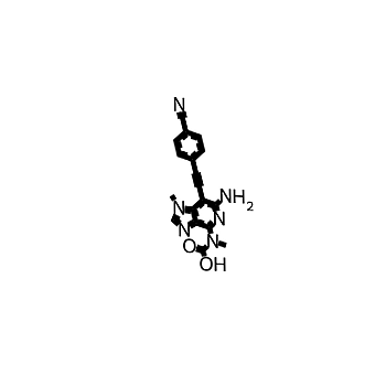 CN(C(=O)O)c1nc(N)c(C#Cc2ccc(C#N)cc2)c2c1ncn2C